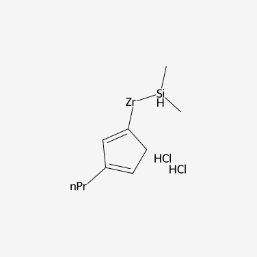 CCCC1=CC[C]([Zr][SiH](C)C)=C1.Cl.Cl